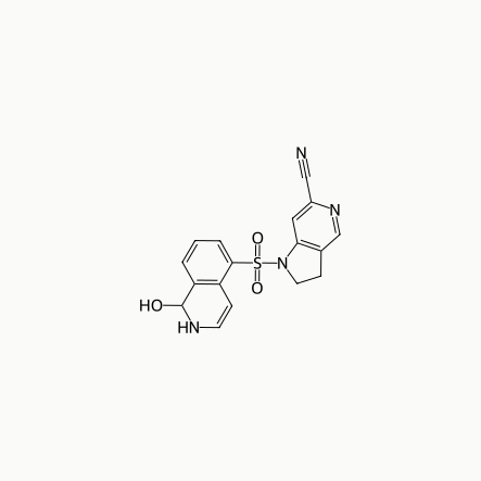 N#Cc1cc2c(cn1)CCN2S(=O)(=O)c1cccc2c1C=CNC2O